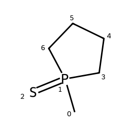 CP1(=S)CCCC1